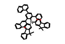 CC1(C)c2ccccc2-c2ccc(N(c3ccc4c(c3)C(C)(C)c3ccccc3-4)c3c(-c4ccccc4)cc(-c4cccc5ccccc45)cc3-c3ccc4ccccc4c3)cc21